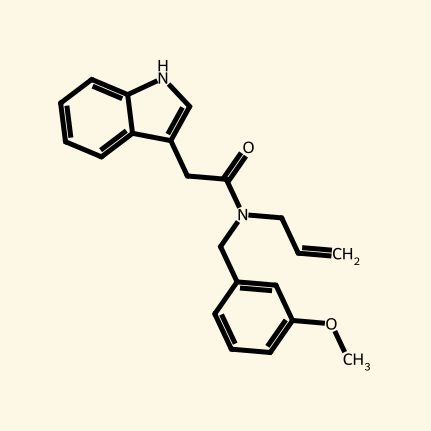 C=CCN(Cc1cccc(OC)c1)C(=O)Cc1c[nH]c2ccccc12